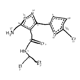 CCC(CC)NC(=O)c1c(-c2ccc(Cl)o2)noc1N